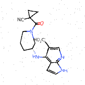 N#CC1(C(=O)N2CCC[C@@H](Nc3c(C(=O)O)cnc4[nH]ccc34)C2)CC1